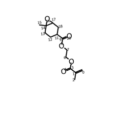 C=C(C)C(=O)OCCOC(=O)C1CCC2(C)OC2C1